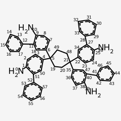 Nc1ccc(C2(c3ccc(N)c(-c4ccccc4)c3)CCC(c3ccc(N)c(-c4ccccc4)c3)(c3ccc(N)c(-c4ccccc4)c3)CC2)cc1-c1ccccc1